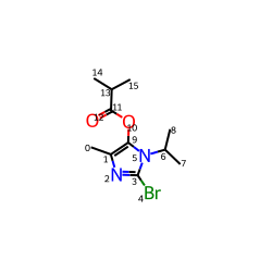 Cc1nc(Br)n(C(C)C)c1OC(=O)C(C)C